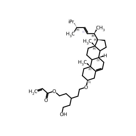 C=CC(=O)OCCC(CCO)CCO[C@H]1CC[C@@]2(C)C(=CC[C@@H]3C2CC[C@@]2(C)C3CC[C@@H]2[C@H](C)/C=C/[C@H](C)C(C)C)C1